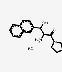 Cl.NC(C(=O)N1CCCC1)C(O)c1ccc2ccccc2c1